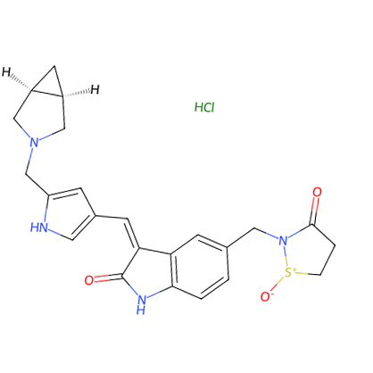 Cl.O=C1Nc2ccc(CN3C(=O)CC[S+]3[O-])cc2C1=Cc1c[nH]c(CN2C[C@H]3C[C@H]3C2)c1